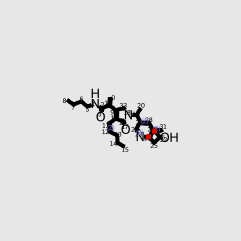 C=C(C(=O)NCCCC)C1=C(/C=C\CCC)C(=O)N(C(C)C(/C=N\C2CCC2)=C/C(C)=C/O)C1